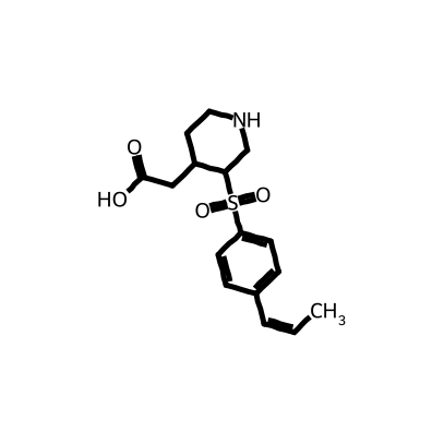 C/C=C\c1ccc(S(=O)(=O)C2CNCCC2CC(=O)O)cc1